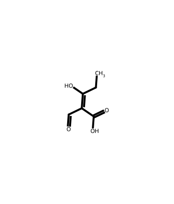 CCC(O)=C(C=O)C(=O)O